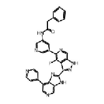 O=C(Cc1ccccc1)Nc1cncc(-c2ncc3[nH]nc(-c4nc5c(-c6ccncc6)cncc5[nH]4)c3c2F)c1